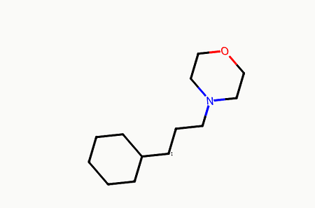 [C](CCN1CCOCC1)C1CCCCC1